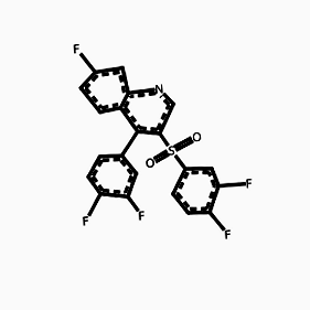 O=S(=O)(c1ccc(F)c(F)c1)c1cnc2cc(F)ccc2c1-c1ccc(F)c(F)c1